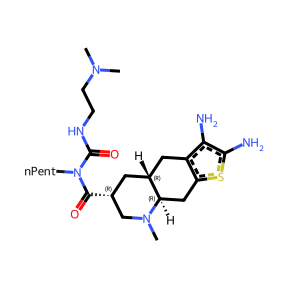 CCCCCN(C(=O)NCCN(C)C)C(=O)[C@@H]1C[C@@H]2Cc3c(sc(N)c3N)C[C@H]2N(C)C1